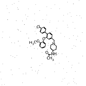 COc1ccccc1Oc1cc(CN2CCC(NC(C)=O)CC2)ccc1-c1ccc(Cl)cc1